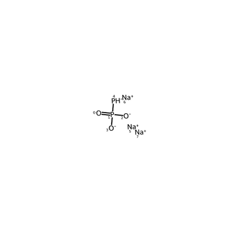 O=P([O-])([O-])[PH-].[Na+].[Na+].[Na+]